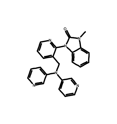 Cn1c(=O)n(-c2ncccc2CN(c2cccnc2)c2cccnc2)c2ccccc21